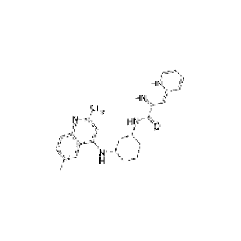 Cc1ccc2nc(C(F)(F)F)cc(N[C@H]3CCCC(NC(=O)C(=N)/C=C4/C=CC=CN4)C3)c2c1